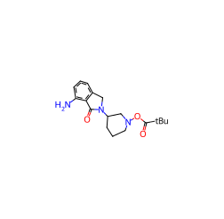 CC(C)(C)C(=O)ON1CCCC(N2Cc3cccc(N)c3C2=O)C1